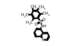 Cc1c(C)c(C)c(S(=O)(=O)Nc2cc[c]c3ncccc23)c(C)c1C